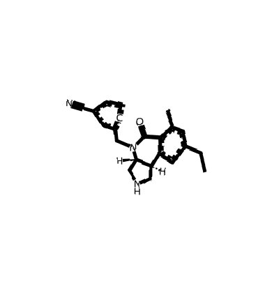 CCc1cc(C)c2c(c1)[C@H]1CNC[C@@H]1N(Cc1cccc(C#N)c1)C2=O